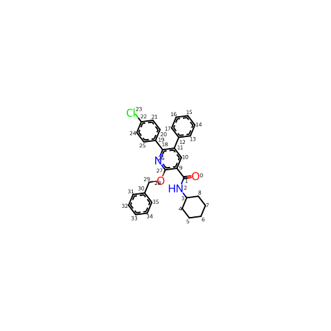 O=C(NC1CCCCC1)c1cc(-c2ccccc2)c(-c2ccc(Cl)cc2)nc1OCc1ccccc1